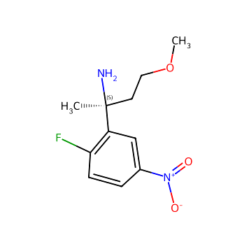 COCC[C@](C)(N)c1cc([N+](=O)[O-])ccc1F